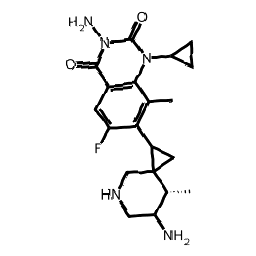 Cc1c(C2CC23CNCC(N)[C@H]3C)c(F)cc2c(=O)n(N)c(=O)n(C3CC3)c12